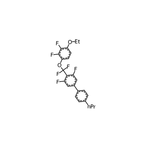 CCCc1ccc(-c2cc(F)c(C(F)(F)Oc3ccc(OCC)c(F)c3F)c(F)c2)cc1